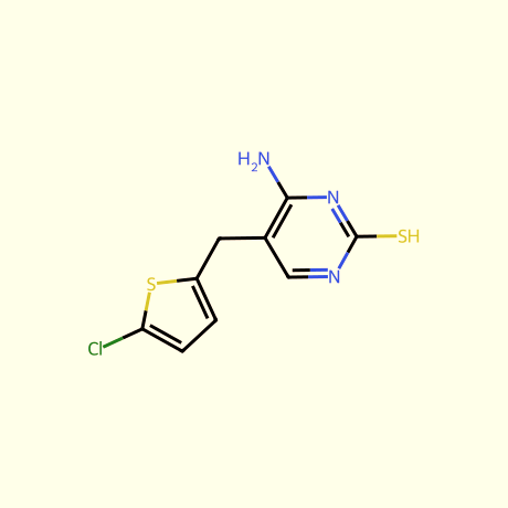 Nc1nc(S)ncc1Cc1ccc(Cl)s1